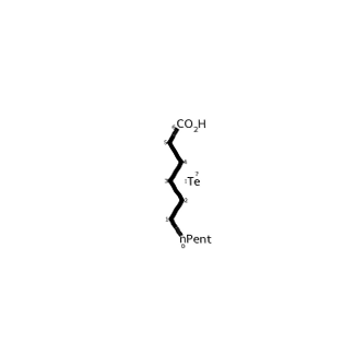 CCCCCCCCCCC(=O)O.[Te]